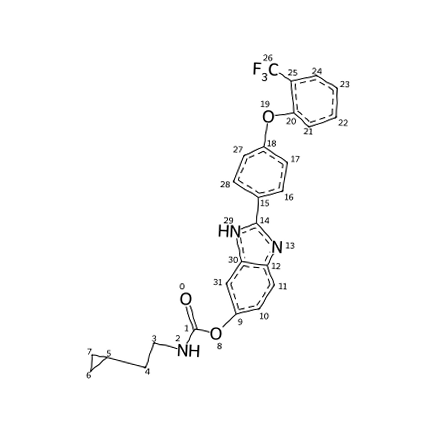 O=C(NCCC1CC1)Oc1ccc2nc(-c3ccc(Oc4ccccc4C(F)(F)F)cc3)[nH]c2c1